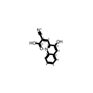 N#C/C(=C/c1nc2ccccc2cc1O)C(=O)O